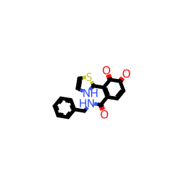 O=C1C=CC(C(=O)NCc2ccccc2)=C(C2NC=CS2)C1=O